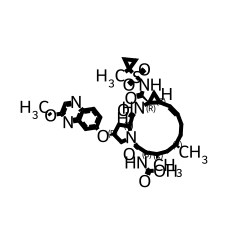 COc1cnc2ccc(O[C@@H]3C[C@H]4C(=O)N[C@]5(C(=O)NS(=O)(=O)C6(C)CC6)C[C@H]5C=CCC[C@@H](C)C[C@@H](C)[C@H](NC(=O)O)C(=O)N4C3)cc2n1